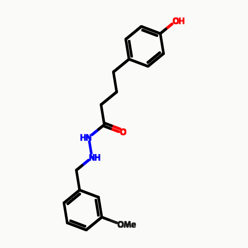 COc1cccc(CNNC(=O)CCCc2ccc(O)cc2)c1